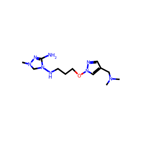 CN(C)Cc1cnn(OCCCNN2CN(C)N=C2N)c1